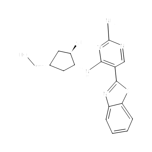 Nc1ncc(-c2nc3ccccc3s2)c(N[C@@H]2C[C@H](CO)C[C@H]2O)n1